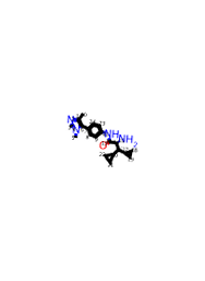 Cc1ncn(C)c1-c1ccc(NC(=O)[C@@H](N)C(C2CC2)C2CC2)cc1